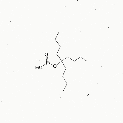 CCCCC(CCCC)(CCCC)O[P](=O)O